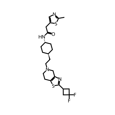 Cc1ncc(CC(=O)N[C@H]2CC[C@H](CCN3CCc4sc(C5CC(F)(F)C5)nc4C3)CC2)s1